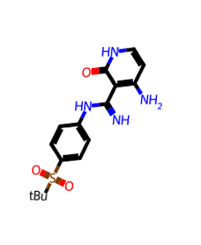 CC(C)(C)S(=O)(=O)c1ccc(NC(=N)c2c(N)cc[nH]c2=O)cc1